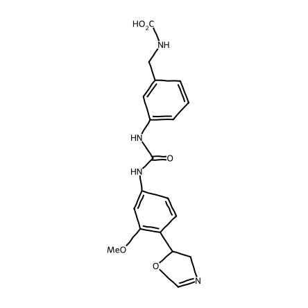 COc1cc(NC(=O)Nc2cccc(CNC(=O)O)c2)ccc1C1CN=CO1